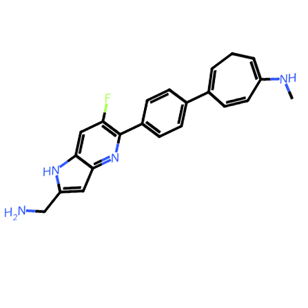 CNC1=CCC=C(c2ccc(-c3nc4cc(CN)[nH]c4cc3F)cc2)C=C1